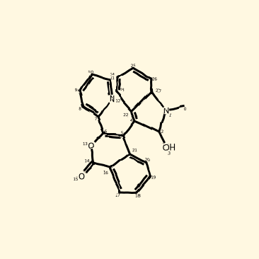 CN1C(O)C(c2c(-c3ccccn3)oc(=O)c3ccccc23)=C2C=CC=CC21